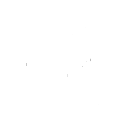 CCCCC(O[Si](C)(C)CCCC)(C(=O)O)C(=O)O